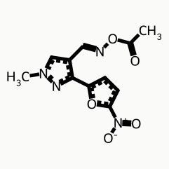 CC(=O)O/N=C/c1cn(C)nc1-c1ccc([N+](=O)[O-])o1